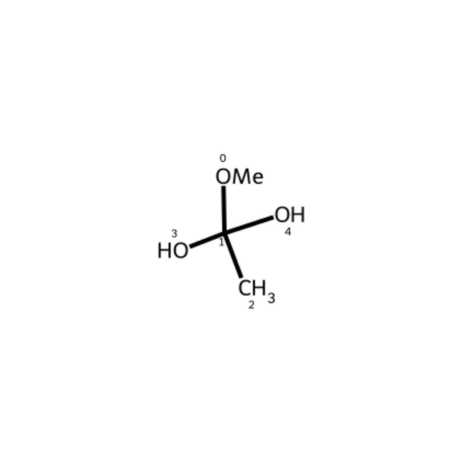 COC(C)(O)O